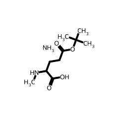 CNC(CCC(=O)OC(C)(C)C)C(=O)O.N